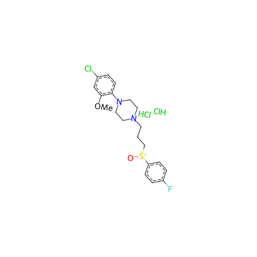 COc1cc(Cl)ccc1N1CCN(CCC[S+]([O-])c2ccc(F)cc2)CC1.Cl.Cl